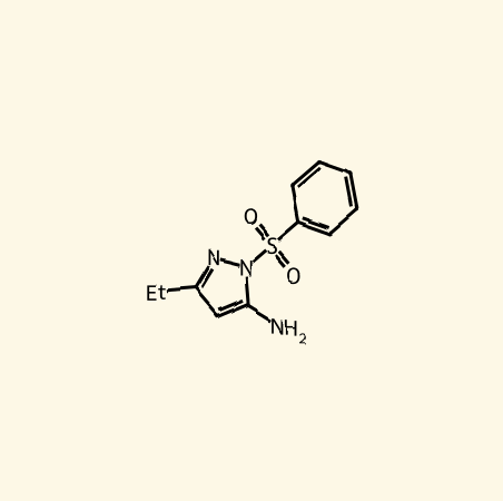 CCc1cc(N)n(S(=O)(=O)c2ccccc2)n1